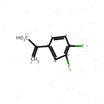 C=C(C(=O)O)c1ccc(F)c(F)c1